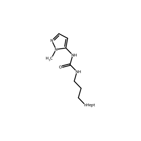 CCCCCCCCCCNC(=O)Nc1ccnn1C